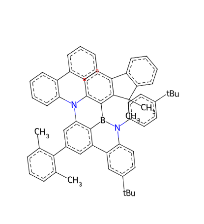 Cc1cccc(C)c1-c1cc2c3c(c1)N(c1ccccc1-c1ccccc1)c1ccc4c(c1B3N(c1ccc(C(C)(C)C)cc1)c1ccc(C(C)(C)C)cc1-2)C(C)(C)c1ccccc1-4